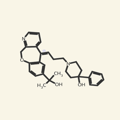 CC(C)(O)c1ccc2c(c1)/C(=C\CCN1CCC(O)(c3ccccc3)CC1)c1cccnc1CO2